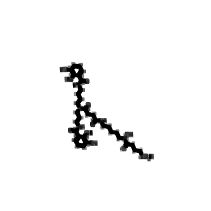 O=C(O)CCCC(=O)N(O)CCCCCNC(=O)CCC(=O)N(CCCCNC(=O)c1cccc(O)c1O)CCCNC(=O)c1cccc(O)c1O